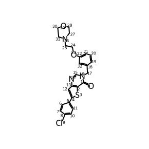 O=c1c2sc(-c3ccc(Cl)cc3)cc2ncn1Cc1cccc(OCCN2CCOCC2)c1